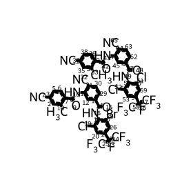 Cc1cc(C#N)ccc1C(=O)Nc1cc(C(=O)Nc2c(Cl)cc(C(F)(C(F)(F)F)C(F)(F)F)cc2Br)ccc1C#N.Cc1cc(C#N)ccc1C(=O)Nc1cc(C(=O)Nc2c(Cl)cc(C(F)(C(F)(F)F)C(F)(F)F)cc2Cl)ccc1C#N